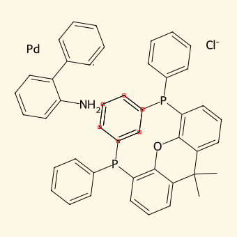 CC1(C)c2cccc(P(c3ccccc3)c3ccccc3)c2Oc2c(P(c3ccccc3)c3ccccc3)cccc21.Nc1ccccc1-c1[c]cccc1.[Cl-].[Pd]